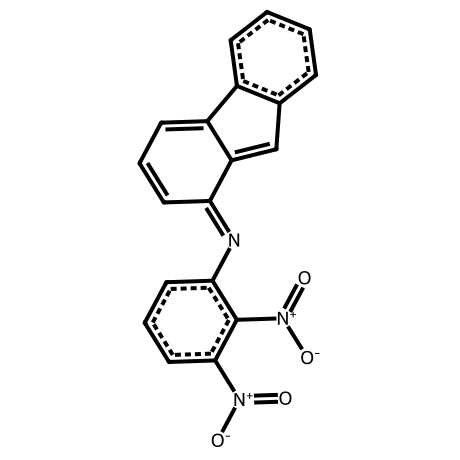 O=[N+]([O-])c1cccc(N=C2C=CC=C3C2=Cc2ccccc23)c1[N+](=O)[O-]